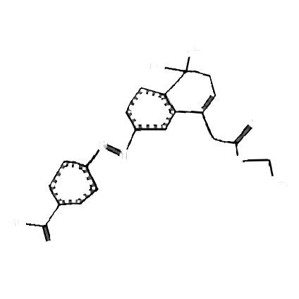 CCOC(=O)CC1=CCC(C)(C)c2ccc(N=Nc3ccc(C(=O)O)cc3)cc21